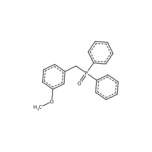 COc1cccc(CP(=O)(c2ccccc2)c2ccccc2)c1